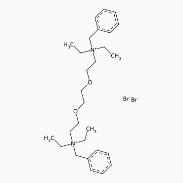 CC[N+](CC)(CCOCCOCC[N+](CC)(CC)Cc1ccccc1)Cc1ccccc1.[Br-].[Br-]